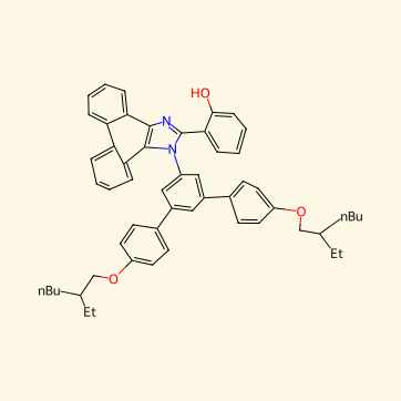 CCCCC(CC)COc1ccc(-c2cc(-c3ccc(OCC(CC)CCCC)cc3)cc(-n3c(-c4ccccc4O)nc4c5ccccc5c5ccccc5c43)c2)cc1